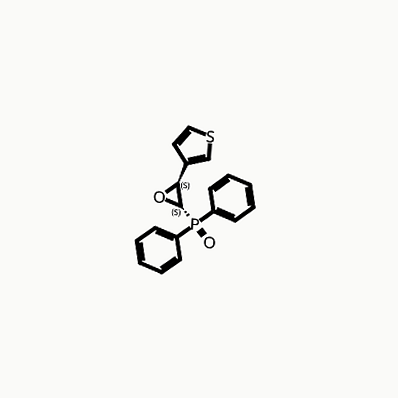 O=P(c1ccccc1)(c1ccccc1)[C@@H]1O[C@H]1c1ccsc1